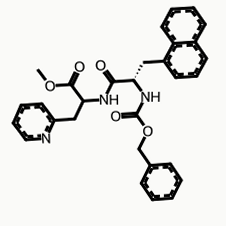 COC(=O)C(Cc1ccccn1)NC(=O)[C@H](Cc1cccc2ccccc12)NC(=O)OCc1ccccc1